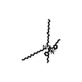 CCCCCCCCCCCCCCC[CH2][Ni][CH2]CCCCCCCCCCCCCCC.CCCCc1cccc(C2=CC(C)=C(c3cccc(CCCC)c3)[N+]2=[N-])c1